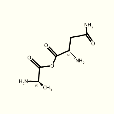 C[C@@H](N)C(=O)OC(=O)[C@@H](N)CC(N)=O